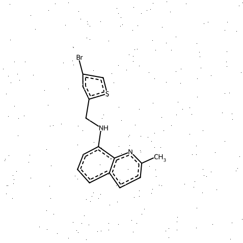 Cc1ccc2cccc(NCc3cc(Br)cs3)c2n1